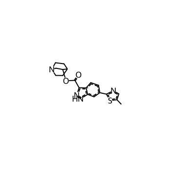 Cc1cnc(-c2ccc3c(C(=O)OC4CN5CCC4CC5)n[nH]c3c2)s1